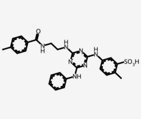 Cc1ccc(C(=O)NCCNc2nc(Nc3ccccc3)nc(Nc3ccc(C)c(S(=O)(=O)O)c3)n2)cc1